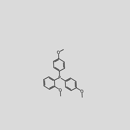 COc1ccc(P(c2ccc(OC)cc2)c2ccccc2OC)cc1